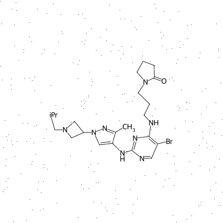 Cc1nn(C2CN(CC(C)C)C2)cc1Nc1ncc(Br)c(NCCCN2CCCC2=O)n1